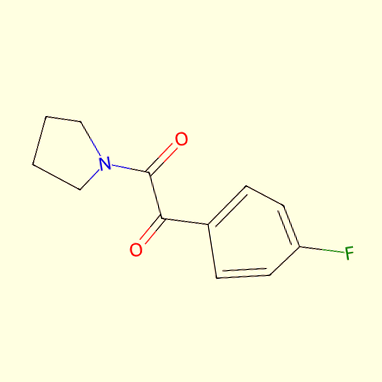 O=C(C(=O)N1CCCC1)c1ccc(F)cc1